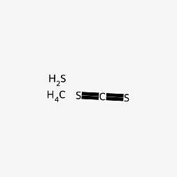 C.S.S=C=S